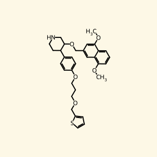 COc1cc(COC2CNCCC2c2ccc(OCCCOCc3cccs3)cc2)cc2c(OC)cccc12